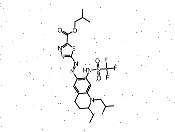 CCC1CCc2cc(N=Nc3nnc(C(=O)OCC(C)C)s3)c(NS(=O)(=O)C(F)(F)F)cc2N1CC(C)C